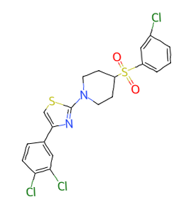 O=S(=O)(c1cccc(Cl)c1)C1CCN(c2nc(-c3ccc(Cl)c(Cl)c3)cs2)CC1